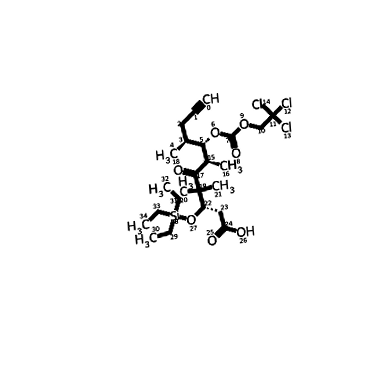 C#CC[C@H](C)[C@H](OC(=O)OCC(Cl)(Cl)Cl)[C@@H](C)C(=O)C(C)(C)[C@H](CC(=O)O)O[Si](CC)(CC)CC